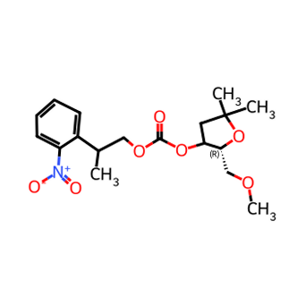 COC[C@H]1OC(C)(C)CC1OC(=O)OCC(C)c1ccccc1[N+](=O)[O-]